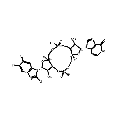 O=c1[nH]cnc2c1ncn2[C@@H]1O[C@@H]2COP(=O)(S)OC3C(O)[C@H](n4c(Cl)nc5cc(Cl)c(Cl)cc54)O[C@@H]3COP(=O)(S)OC2C1O